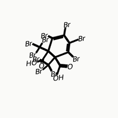 O=C(O)C1(C(Br)(Br)Br)C(Br)=C(Br)C(Br)=C(Br)C1(C(=O)O)C(Br)(Br)Br